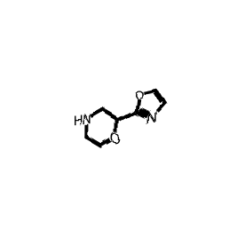 c1coc(C2CNCCO2)n1